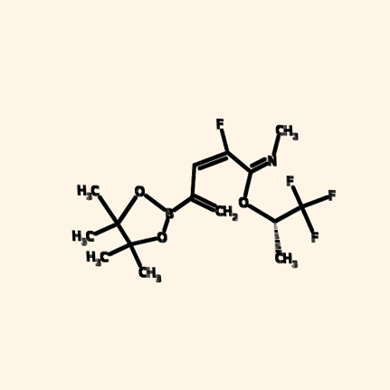 C=C(/C=C(F)\C(=N/C)O[C@@H](C)C(F)(F)F)B1OC(C)(C)C(C)(C)O1